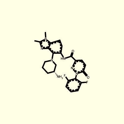 Cc1nc2c(N3CCC[C@@H](N)C3)c(NC(=O)c3ccc(=O)n(-c4c(F)cccc4F)n3)ccc2n1C